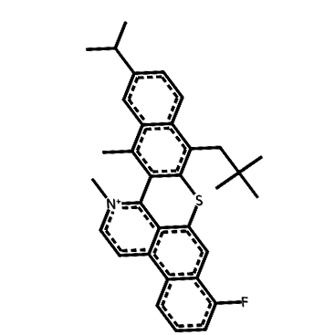 Cc1c2c(c(CC(C)(C)C)c3ccc(C(C)C)cc13)Sc1cc3c(F)cccc3c3cc[n+](C)c-2c13